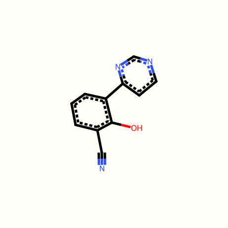 N#Cc1cccc(-c2ccncn2)c1O